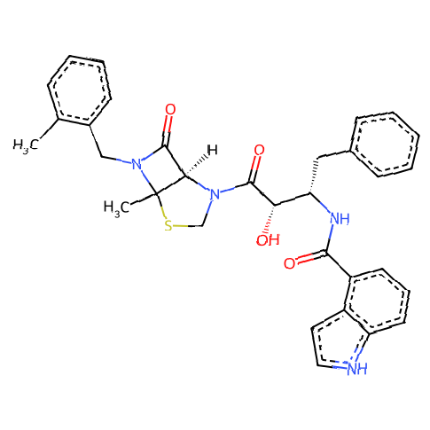 Cc1ccccc1CN1C(=O)[C@H]2N(C(=O)[C@@H](O)[C@H](Cc3ccccc3)NC(=O)c3cccc4[nH]ccc34)CSC21C